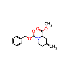 C=C1CCN(C(=O)OCc2ccccc2)[C@@H](C(=O)OC)C1